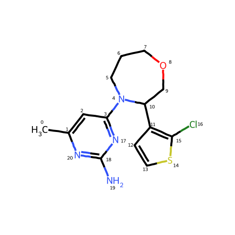 Cc1cc(N2CCCOCC2c2ccsc2Cl)nc(N)n1